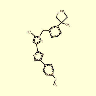 Cc1cc(-c2nc(-c3ccc(OC(F)(F)F)cc3)no2)nn1Cc1cccc(C(C)(CO)CO)c1